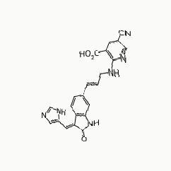 N#Cc1cnc(NCC=Cc2ccc3c(c2)NC(=O)C3=Cc2cnc[nH]2)c(C(=O)O)c1